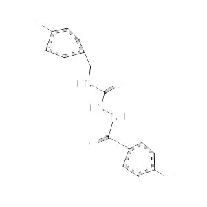 O=C(NCc1ccc(F)cc1)NNC(=O)c1ccc(Cl)cc1